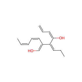 C=C\C=C(O)/C(=C\CC)C(/C=C\C=C/C)=C/O